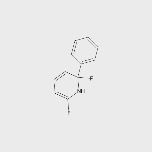 FC1=CC=CC(F)(c2ccccc2)N1